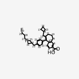 O=C(O)c1ccc2c(c1)CCCC(CC1CCC1)=C2c1ccc(CC2CN(CCCF)C2)cc1